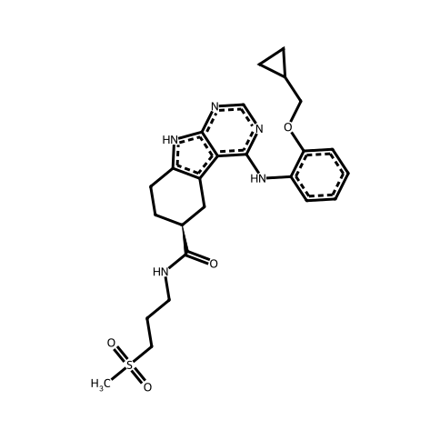 CS(=O)(=O)CCCNC(=O)[C@H]1CCc2[nH]c3ncnc(Nc4ccccc4OCC4CC4)c3c2C1